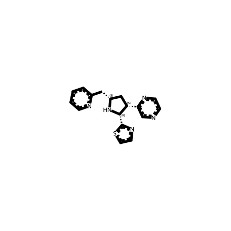 c1ccc(C[C@@H]2C[C@H](c3cnccn3)[C@H](c3nccs3)N2)nc1